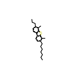 CCCCCCCc1ccc2c(sc3c(C)c(CCC)ccc32)c1C